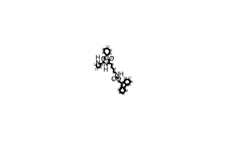 O=C(NCCCCC(NC(=O)[C@H]1CCCN1)C(=O)OC1CCCCC1)OCC1c2ccccc2-c2ccccc21